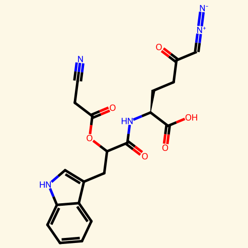 N#CCC(=O)OC(Cc1c[nH]c2ccccc12)C(=O)N[C@@H](CCC(=O)C=[N+]=[N-])C(=O)O